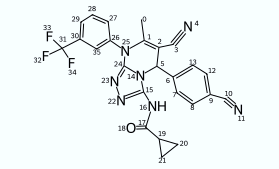 CC1=C(C#N)C(c2ccc(C#N)cc2)n2c(NC(=O)C3CC3)nnc2N1c1cccc(C(F)(F)F)c1